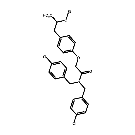 CCO[C@@H](Cc1ccc(OCC(=O)N(Cc2ccc(Cl)cc2)Cc2ccc(Cl)cc2)cc1)C(=O)O